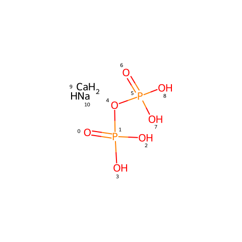 O=P(O)(O)OP(=O)(O)O.[CaH2].[NaH]